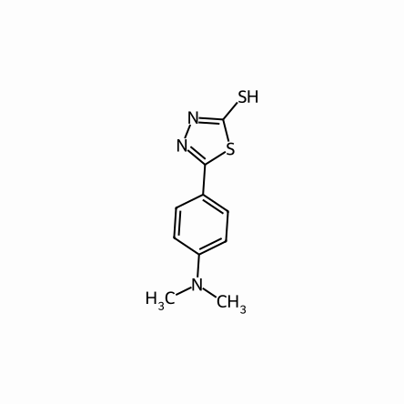 CN(C)c1ccc(-c2nnc(S)s2)cc1